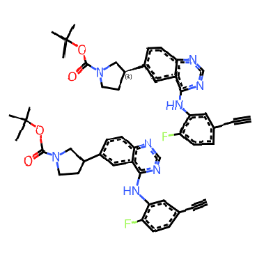 C#Cc1ccc(F)c(Nc2ncnc3ccc(C4CCN(C(=O)OC(C)(C)C)C4)cc23)c1.C#Cc1ccc(F)c(Nc2ncnc3ccc([C@H]4CCN(C(=O)OC(C)(C)C)C4)cc23)c1